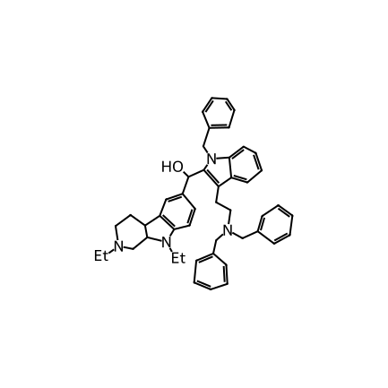 CCN1CCC2c3cc(C(O)c4c(CCN(Cc5ccccc5)Cc5ccccc5)c5ccccc5n4Cc4ccccc4)ccc3N(CC)C2C1